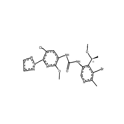 COc1nc(-n2nccn2)c(Cl)cc1NC(=O)Nc1cnc(C)c(Br)c1[C@H](C)OC